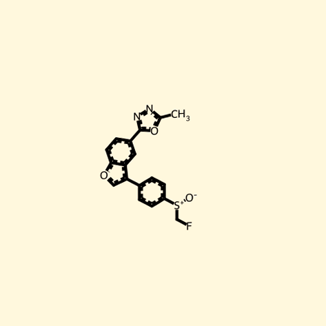 Cc1nnc(-c2ccc3occ(-c4ccc([S+]([O-])CF)cc4)c3c2)o1